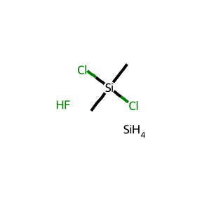 C[Si](C)(Cl)Cl.F.[SiH4]